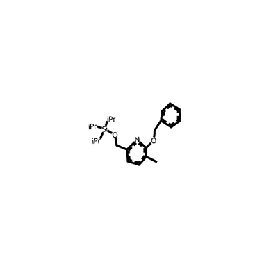 Cc1ccc(CO[Si](C(C)C)(C(C)C)C(C)C)nc1OCc1ccccc1